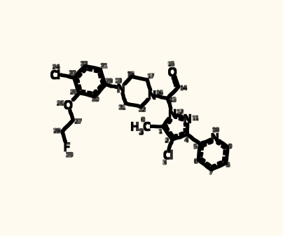 Cc1c(Cl)c(-c2ccccn2)nn1C(C=O)N1CCN(c2ccc(Cl)c(OCCF)c2)CC1